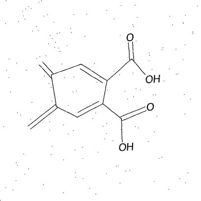 C=c1cc(C(=O)O)c(C(=O)O)cc1=C